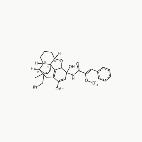 CC(=O)OC1=CC(O)(NC(=O)C(=Cc2ccccc2)OC(F)(F)F)C2O[C@H]3CCC[C@H]4[C@H]5CC1=C2[C@@]34CC[N+]5(C)CC(C)C